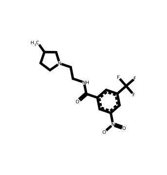 CC1CCN(CCNC(=O)c2cc([N+](=O)[O-])cc(C(F)(F)F)c2)C1